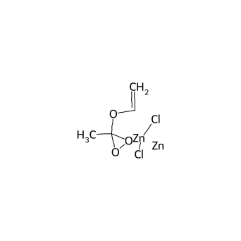 C=COC1(C)OO1.[Cl][Zn][Cl].[Zn]